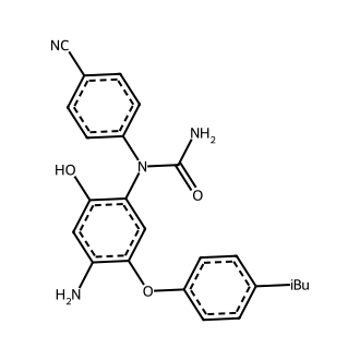 CCC(C)c1ccc(Oc2cc(N(C(N)=O)c3ccc(C#N)cc3)c(O)cc2N)cc1